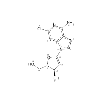 Nc1nc(Cl)nc2c1ncn2C1=C[C@@H](O)C(CO)O1